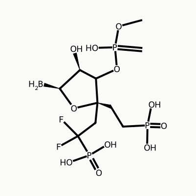 B[C@@H]1O[C@@](CCP(=O)(O)O)(CC(F)(F)P(=O)(O)O)C(OP(=C)(O)OC)[C@@H]1O